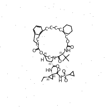 CC[C@@H]1C[C@]1(NC(=O)[C@@H]1C[C@@H]2CN1C(=O)[C@H](C(C)(C)C)NC(=O)OCC1(CCCCC1)CCCCc1cccc3c1CN(C3)C(=O)O2)C(=O)NS(=O)(=O)C1CC1